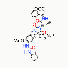 COc1cc(CN2C(=O)N([C@@H](CC(C)C)C(=O)N[C@@H](CC(=O)[O-])c3ccccc3)C(=O)C2(C(F)(F)F)C(F)(F)F)ccc1NC(=O)Nc1ccccc1C.[Na+]